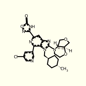 C[C@H]1CC[C@H](Cn2c(N3CCO[C@@H]4COC[C@H]43)nc3cc(-c4noc(=O)[nH]4)nc(-c4cncc(Cl)c4)c32)CC1